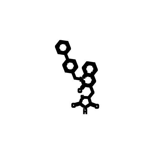 O=C1NC(=O)C(Cc2cc3ccccc3n(Cc3ccc(-c4ccccc4)cc3)c2=O)S1